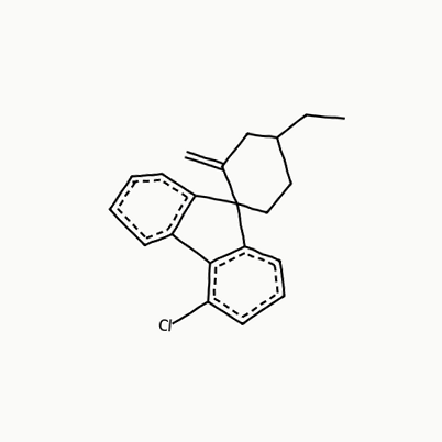 C=C1CC(CC)CCC12c1ccccc1-c1c(Cl)cccc12